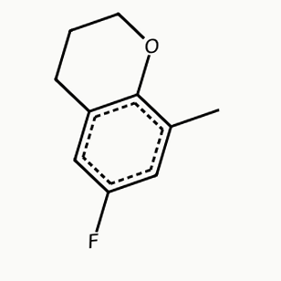 Cc1cc(F)cc2c1OCCC2